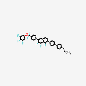 CCCc1ccc(-c2ccc(-c3ccc4cc(-c5ccc(C(F)(F)Oc6cc(F)c(F)c(F)c6)cc5)c(F)c(F)c4c3F)cc2)cc1